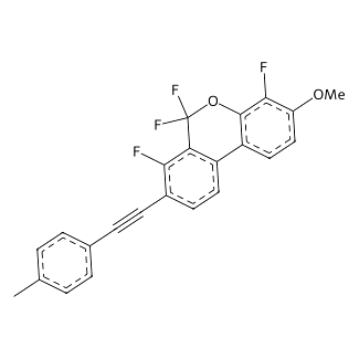 COc1ccc2c(c1F)OC(F)(F)c1c-2ccc(C#Cc2ccc(C)cc2)c1F